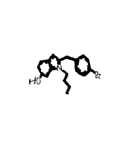 CCCCn1c(Cc2ccc(Br)cc2)cc2ccc(O)cc21